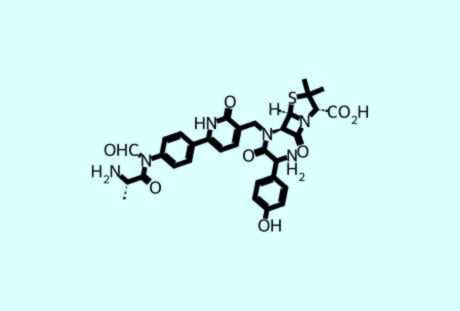 C[C@H](N)C(=O)N(C=O)c1ccc(-c2ccc(CN(C(=O)C(N)c3ccc(O)cc3)[C@@H]3C(=O)N4[C@@H]3SC(C)(C)[C@@H]4C(=O)O)c(=O)[nH]2)cc1